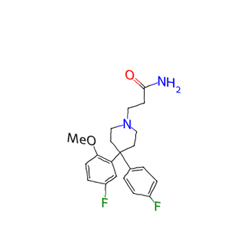 COc1ccc(F)cc1C1(c2ccc(F)cc2)CCN(CCC(N)=O)CC1